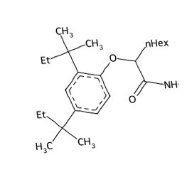 CCCCCCC(Oc1ccc(C(C)(C)CC)cc1C(C)(C)CC)C([NH])=O